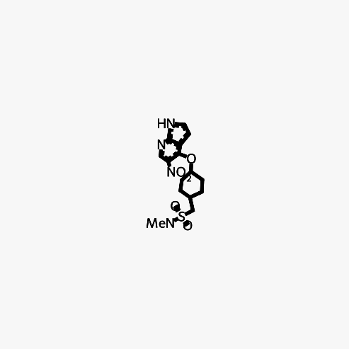 CNS(=O)(=O)CC1CCC(Oc2c([N+](=O)[O-])cnc3[nH]ccc23)CC1